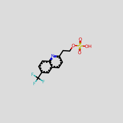 O=S(=O)(O)OCCc1ccc2cc(C(F)(F)F)ccc2n1